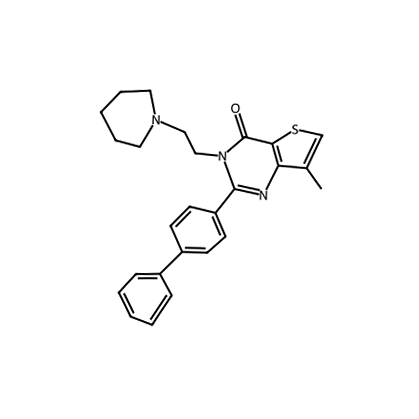 Cc1csc2c(=O)n(CCN3CCCCC3)c(-c3ccc(-c4ccccc4)cc3)nc12